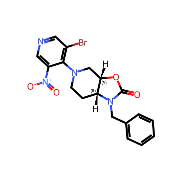 O=C1O[C@H]2CN(c3c(Br)cncc3[N+](=O)[O-])CC[C@H]2N1Cc1ccccc1